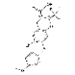 COc1ccc(Oc2cc3c(cc2Cl)C[C@@H](C(=O)O)[C@@H](C(F)(F)F)O3)cc1